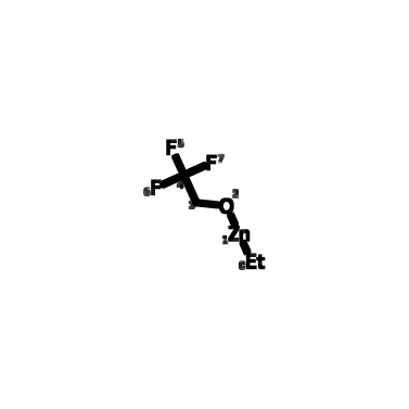 [CH2][CH2][Zn][O]CC(F)(F)F